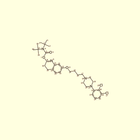 CC(C)(C)N(C(=O)OC1=Nc2cc(OCCCCN3CCN(c4cccc(Cl)c4Cl)CC3)ccc2CC1)C(C)(C)C